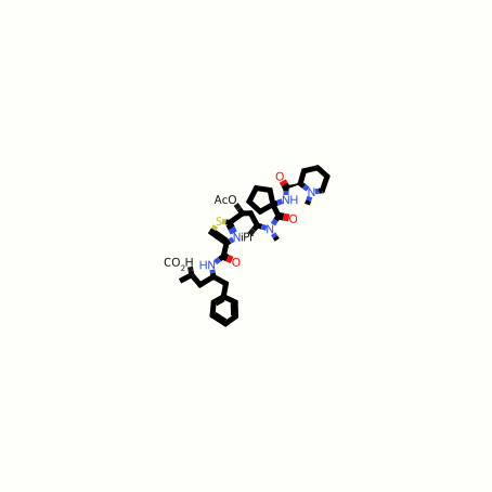 CC(=O)OC(CC(C(C)C)N(C)C(=O)C1(NC(=O)[C@H]2CCCCN2C)CCCC1)c1nc(C(=O)NC(Cc2ccccc2)CC(C)C(=O)O)cs1